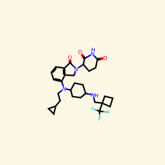 O=C1CCC(N2Cc3c(cccc3N(CCC3CC3)C3CCC(NCC4(C(F)(F)F)CCC4)CC3)C2=O)C(=O)N1